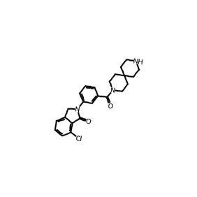 O=C(c1cccc(N2Cc3cccc(Cl)c3C2=O)c1)N1CCC2(CCNCC2)CC1